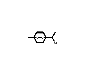 CC(O)C12C=CC(C)(CC1)CC2